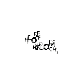 Cc1cc(Cn2cnn(-c3cc(C(F)(F)F)cc(C(F)(F)F)c3)c2=O)ccc1[N+](=O)[O-]